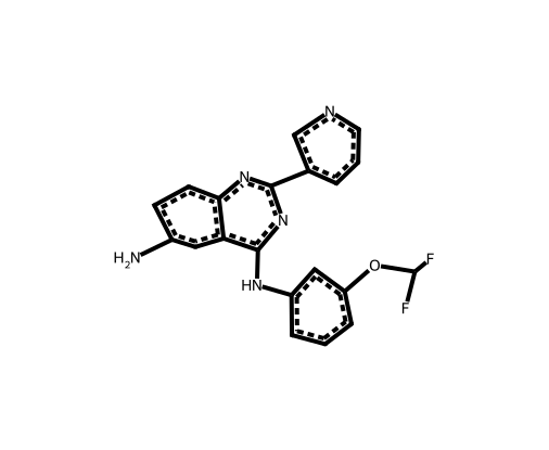 Nc1ccc2nc(-c3cccnc3)nc(Nc3cccc(OC(F)F)c3)c2c1